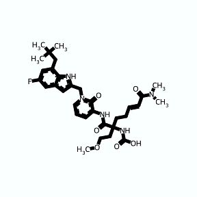 COCCC(CCC=CC(=O)N(C)C)(NC(=O)O)C(=O)Nc1cccn(Cc2cc3cc(F)cc(CC(C)(C)C)c3[nH]2)c1=O